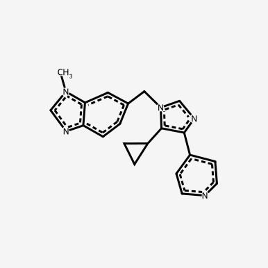 Cn1cnc2ccc(Cn3cnc(-c4ccncc4)c3C3CC3)cc21